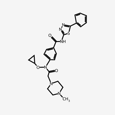 CN1CCN(CC(=O)N(OC2CC2)c2ccc(C(=O)Nc3nnc(-c4ccccc4)s3)cc2)CC1